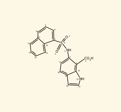 O=C(O)c1c(NS(=O)(=O)c2cccc3ccccc23)ccc2cc[nH]c12